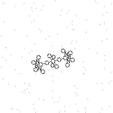 c1ccc(N2c3ccccc3B3c4ccccc4N(c4ccccc4)c4cc(-c5ccc(-c6c7oc8ccccc8c7c(-c7ccc(-c8cc9c%10c(c8)N(c8ccccc8)c8ccccc8B%10c8ccccc8N9c8ccccc8)cc7)c7oc8ccccc8c67)cc5)cc2c43)cc1